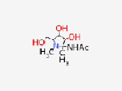 CC(=O)NC1(C)C(O)C(O)C(CO)N1C